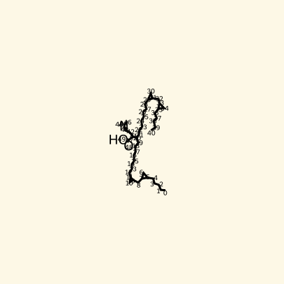 CCCCCC1CC1CC1CC1CCCCCCCCC(CCCCCCCCC1CC1CC1CC1CCCCC)C(CCN(C)C)C(=O)O